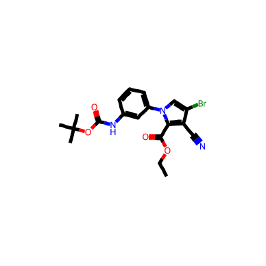 CCOC(=O)c1c(C#N)c(Br)cn1-c1cccc(NC(=O)OC(C)(C)C)c1